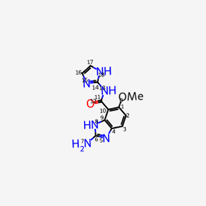 COc1ccc2nc(N)[nH]c2c1C(=O)Nc1ncc[nH]1